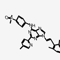 Cc1ccc(-c2nc(Nc3ccc(P(C)(C)=O)cc3)c3ncn(C=Cc4c(C)cccc4C)c3n2)nc1